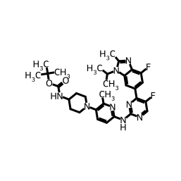 Cc1nc(Nc2ncc(F)c(-c3cc(F)c4nc(C)n(C(C)C)c4c3)n2)ccc1N1CCC(NC(=O)OC(C)(C)C)CC1